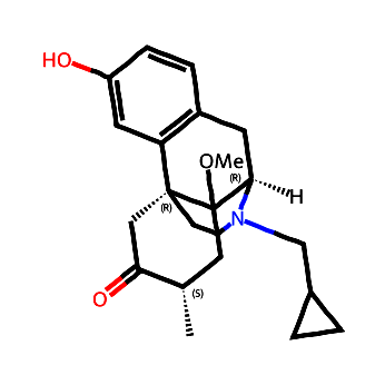 COC12C[C@H](C)C(=O)C[C@@]13CCN(CC1CC1)[C@@H]2Cc1ccc(O)cc13